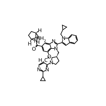 COc1cc(C(=O)N2C[C@H]3CC[C@@H]2[C@@H]3N)cc2nc(-c3cc4ccccc4n3CC3CC3)n(C[C@H]3CCN(c4ccnc(C5CC5)n4)C3)c12